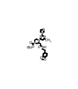 Cc1cc(N2CCN(C(=O)OC(C)(C)C)CC2CC(=O)NCCc2ccc3c(c2)OCO3)nc(-n2ccnc2)n1